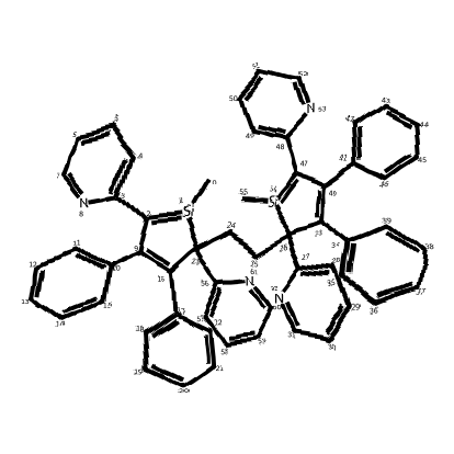 C[Si]1=C(c2ccccn2)C(c2ccccc2)=C(c2ccccc2)C1(CCC1(c2ccccn2)C(c2ccccc2)=C(c2ccccc2)C(c2ccccn2)=[Si]1C)c1ccccn1